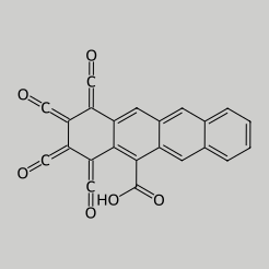 O=C=c1c(=C=O)c(=C=O)c2c(C(=O)O)c3cc4ccccc4cc3cc2c1=C=O